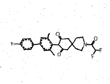 Cc1cc(-c2ccc(F)cc2)cc(C)c1C1C(=O)CC2(CCN(C(=O)C(F)F)CC2)CC1=O